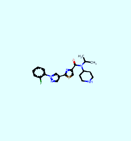 CC(C)N(C(=O)c1csc(-c2cnn(-c3ccccc3F)c2)n1)C1CCNCC1